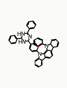 C1=CC2c3ccc4c5ccccc5n(-c5ccc(C6N=C(c7ccccc7)NC(c7ccccc7)N6)cc5)c4c3N(c3ccccc3)C2C=C1